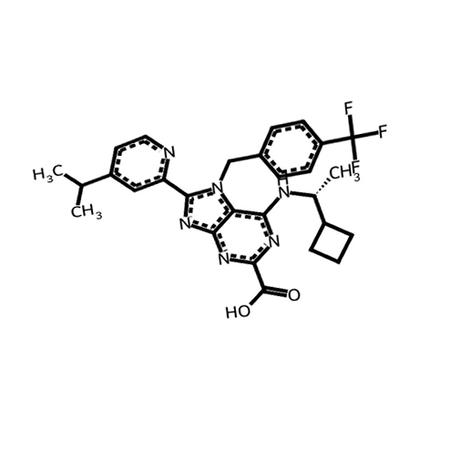 CC(C)c1ccnc(-c2nc3nc(C(=O)O)nc(N[C@H](C)C4CCC4)c3n2Cc2ccc(C(F)(F)F)cc2)c1